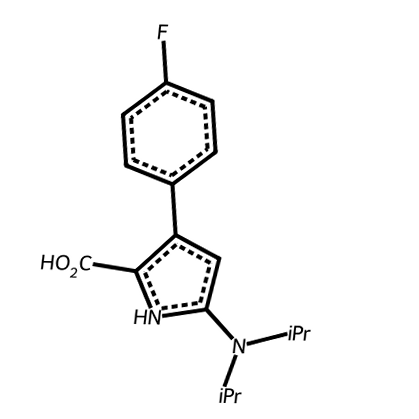 CC(C)N(c1cc(-c2ccc(F)cc2)c(C(=O)O)[nH]1)C(C)C